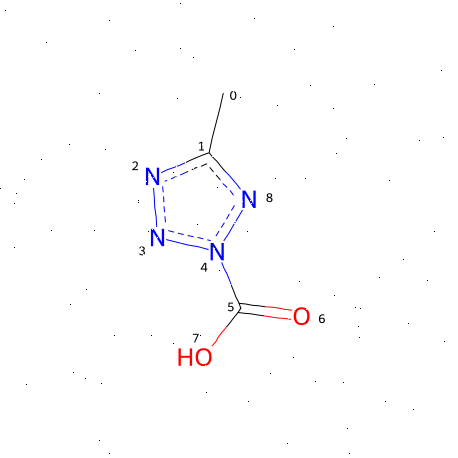 Cc1nnn(C(=O)O)n1